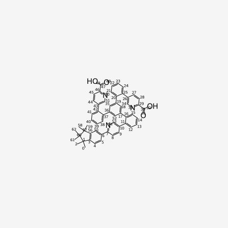 CC1(C)c2ccc(-c3ccc(-c4ccccc4-c4cc(-c5ccccc5-c5ccc(C(=O)O)nc5)cc(-c5ccccc5-c5ccc(C(=O)O)nc5)c4)cn3)cc2C(C)(C)C1(C)C